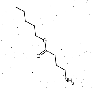 CCCCCOC(=O)CCCN